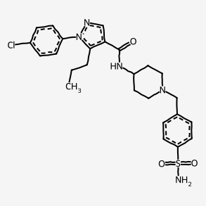 CCCc1c(C(=O)NC2CCN(Cc3ccc(S(N)(=O)=O)cc3)CC2)cnn1-c1ccc(Cl)cc1